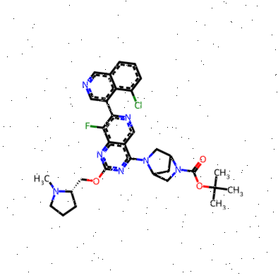 CN1CCC[C@H]1COc1nc(N2CC3CC2CN3C(=O)OC(C)(C)C)c2cnc(-c3cncc4cccc(Cl)c34)c(F)c2n1